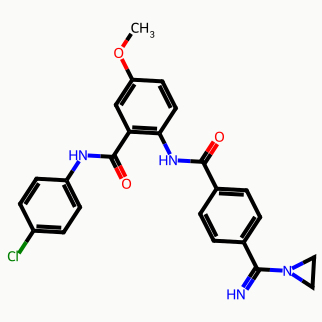 COc1ccc(NC(=O)c2ccc(C(=N)N3CC3)cc2)c(C(=O)Nc2ccc(Cl)cc2)c1